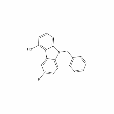 Oc1cccc2c1c1cc(F)ccc1n2Cc1ccccc1